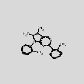 Cc1ccccc1-c1ncc2c(n1)N(c1ccccc1C)C(C)N2C